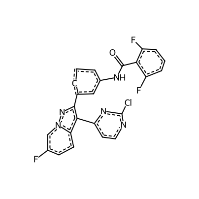 O=C(Nc1cccc(-c2nn3cc(F)ccc3c2-c2ccnc(Cl)n2)c1)c1c(F)cccc1F